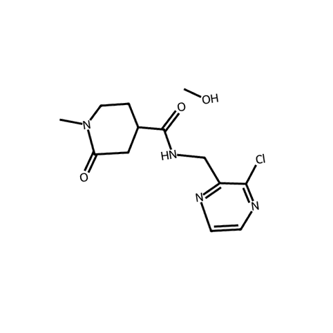 CN1CCC(C(=O)NCc2nccnc2Cl)CC1=O.CO